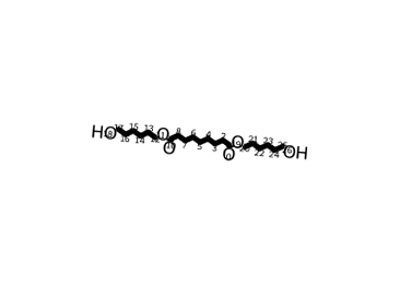 O=C(CCCCCCCC(=O)OCCCCCCO)OCCCCCCO